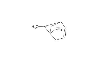 CC12CC=CC3C1C32C